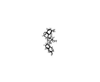 Cc1ncc2c(NC(F)C(C)(O)C(F)(F)C3CCOc4ccc(F)cc43)cccc2n1